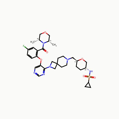 C[C@@H]1COC[C@H](C)N1C(=O)c1cc(F)ccc1Oc1cncnc1N1CC2(CCN(C[C@@H]3CC[C@@H](NS(=O)(=O)C4CC4)CO3)CC2)C1